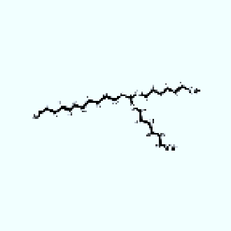 OCCCCCCOC(CCCCCCC/C=C/CCI)OCCCCCCO